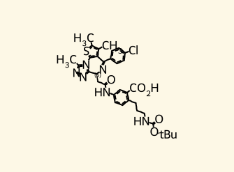 Cc1sc2c(c1C)C(c1ccc(Cl)cc1)=N[C@@H](CC(=O)Nc1ccc(CCCNC(=O)OC(C)(C)C)c(C(=O)O)c1)c1nnc(C)n1-2